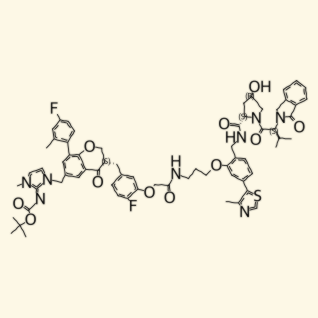 Cc1cc(F)ccc1-c1cc(Cn2ccn(C)c2=NC(=O)OC(C)(C)C)cc2c1OC[C@H](Cc1ccc(F)c(OCC(=O)NCCCOc3cc(-c4scnc4C)ccc3CNC(=O)[C@@H]3C[C@@H](O)CN3C(=O)[C@H](C(C)C)N3Cc4ccccc4C3=O)c1)C2=O